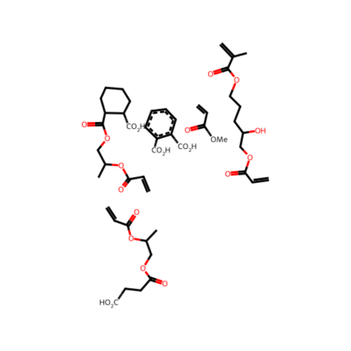 C=CC(=O)OC.C=CC(=O)OC(C)COC(=O)C1CCCCC1C(=O)O.C=CC(=O)OC(C)COC(=O)CCC(=O)O.C=CC(=O)OCC(O)CCCOC(=O)C(=C)C.O=C(O)c1ccccc1C(=O)O